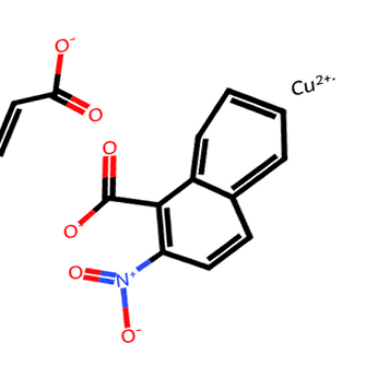 C=CC(=O)[O-].O=C([O-])c1c([N+](=O)[O-])ccc2ccccc12.[Cu+2]